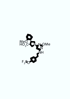 COc1nc(NCCc2ccc(OC(F)(F)F)cc2)cc(N2C[C@H](C(=O)O)[C@@H](c3ccccc3OC)C2)n1